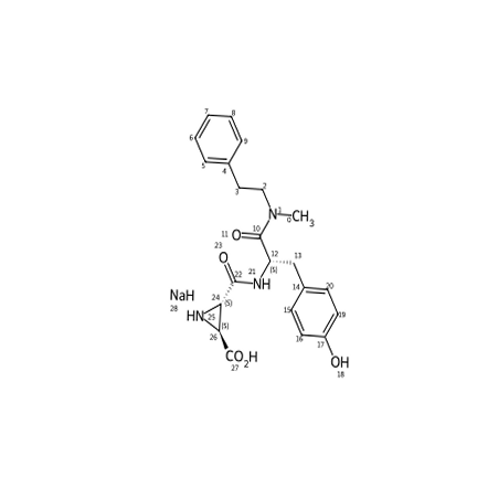 CN(CCc1ccccc1)C(=O)[C@H](Cc1ccc(O)cc1)NC(=O)[C@H]1N[C@@H]1C(=O)O.[NaH]